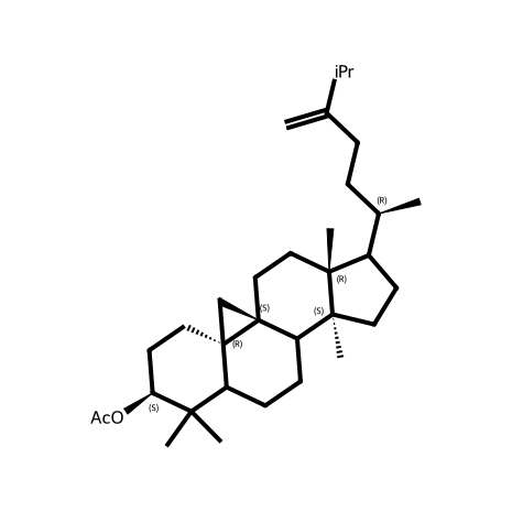 C=C(CC[C@@H](C)C1CC[C@@]2(C)C3CCC4C(C)(C)[C@@H](OC(C)=O)CC[C@@]45C[C@@]35CC[C@]12C)C(C)C